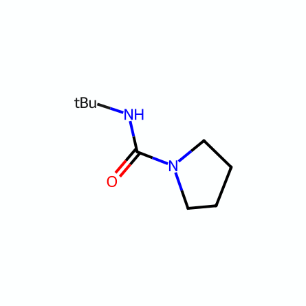 CC(C)(C)NC(=O)N1CCCC1